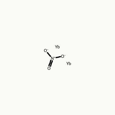 O=[N+]([O-])[O-].[Yb].[Yb]